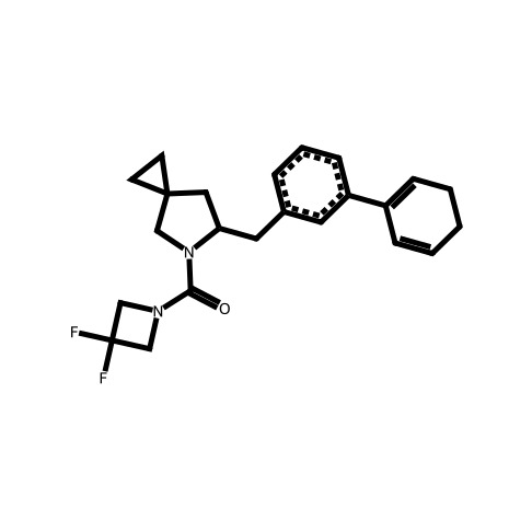 O=C(N1CC(F)(F)C1)N1CC2(CC2)CC1Cc1cccc(C2=CCCC=C2)c1